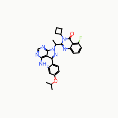 CC(C)Oc1ccc(-c2nn(C(C)c3nc4cccc(F)c4c(=O)n3C3CCC3)c3ncnc(N)c23)cc1